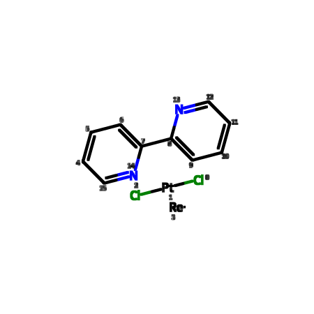 [Cl][Pt][Cl].[Re].c1ccc(-c2ccccn2)nc1